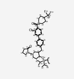 CC(C)[Si](OC1CCN(N2CCCC2=O)CC1Cc1ccc(-c2ccc(C(=O)N3CCC(C(F)(F)F)CC3)c(Cl)c2)cc1)(C(C)C)C(C)C